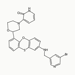 O=c1[nH]cccc1N1CCOC(c2cccc3c2Oc2ccc(NCc4cncc(Br)c4)cc2S3)C1